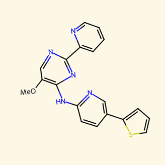 COc1cnc(-c2ccccn2)nc1Nc1ccc(-c2cccs2)cn1